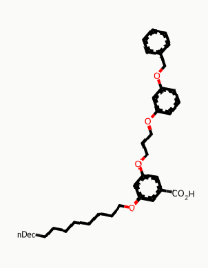 CCCCCCCCCCCCCCCCCCOc1cc(OCCCOc2cccc(OCc3ccccc3)c2)cc(C(=O)O)c1